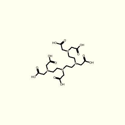 O=C(O)CN(CCN(CCN(CC(=O)O)CC(=O)O)CC(=O)O)CCN(CC(=O)O)CC(=O)O